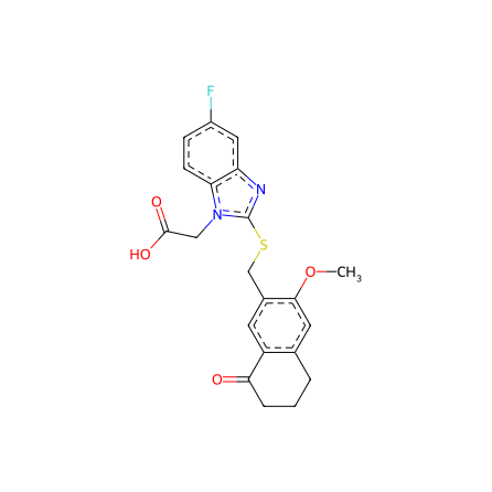 COc1cc2c(cc1CSc1nc3cc(F)ccc3n1CC(=O)O)C(=O)CCC2